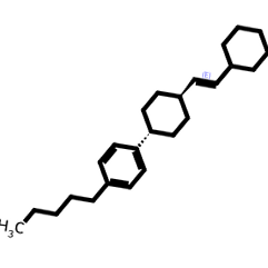 CCCCCc1ccc([C@H]2CC[C@H](/C=C/C3CCCCC3)CC2)cc1